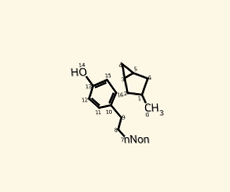 CC1CC2CC2C1.CCCCCCCCCCCc1ccc(O)cc1